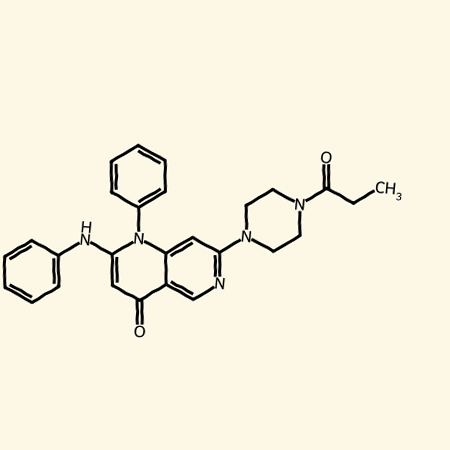 CCC(=O)N1CCN(c2cc3c(cn2)c(=O)cc(Nc2ccccc2)n3-c2ccccc2)CC1